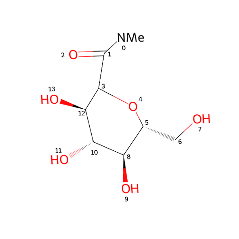 CNC(=O)C1O[C@H](CO)[C@@H](O)[C@H](O)[C@H]1O